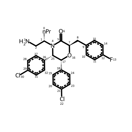 CCC[C@@H](CN)N1C(=O)[C@@H](Cc2ccc(F)cc2)O[C@H](c2ccc(Cl)cc2)[C@@H]1c1ccc(Cl)cc1